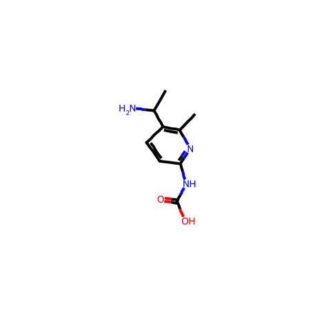 Cc1nc(NC(=O)O)ccc1C(C)N